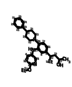 CCOc1ncc(Nc2cc(C(CC)CC(C)O)ccc2N2CCC(c3ccccc3)CC2)cn1